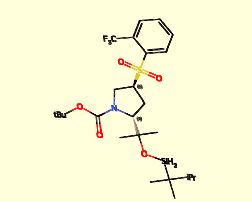 CC(C)C(C)(C)[SiH2]OC(C)(C)[C@H]1C[C@H](S(=O)(=O)c2ccccc2C(F)(F)F)CN1C(=O)OC(C)(C)C